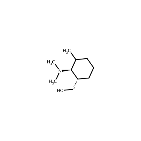 CC1CCC[C@H](CO)[C@H]1N(C)C